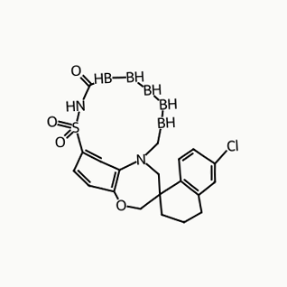 O=C1BBBBBCN2CC3(CCCc4cc(Cl)ccc43)COc3ccc(cc32)S(=O)(=O)N1